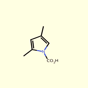 Cc1cc(C)n(C(=O)O)c1